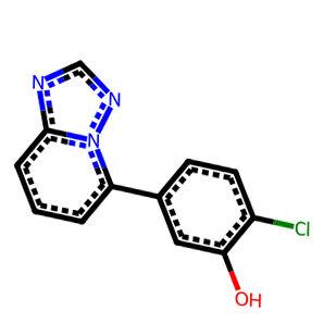 Oc1cc(-c2cccc3ncnn23)ccc1Cl